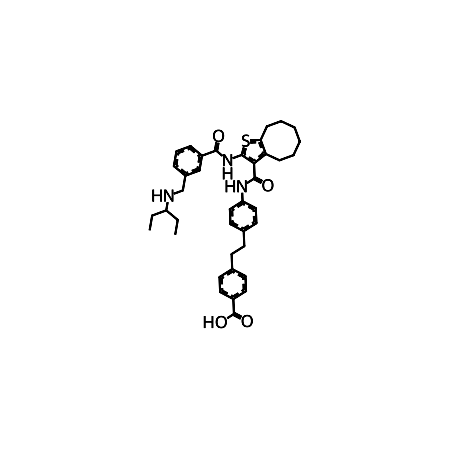 CCC(CC)NCc1cccc(C(=O)Nc2sc3c(c2C(=O)Nc2ccc(CCc4ccc(C(=O)O)cc4)cc2)CCCCCC3)c1